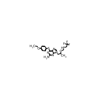 CCOc1ccc(Sc2nc(N)nc3c2ncn3CC(C)OCPCC(F)(F)F)cc1